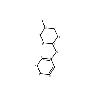 CN1CCC(CC2=CC[CH]C=C2)CC1